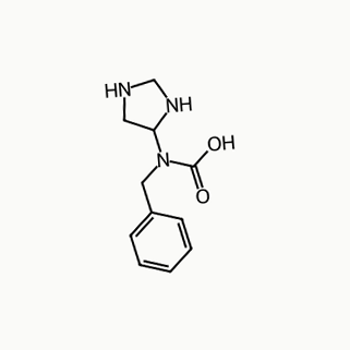 O=C(O)N(Cc1ccccc1)C1CNCN1